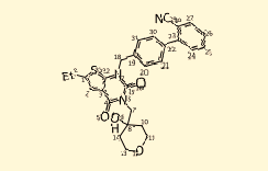 CCc1cc2c(=O)n(CC3(O)CCOCC3)c(=O)n(Cc3ccc(-c4ccccc4C#N)cc3)c2s1